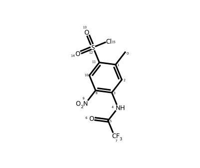 Cc1cc(NC(=O)C(F)(F)F)c([N+](=O)[O-])cc1S(=O)(=O)Cl